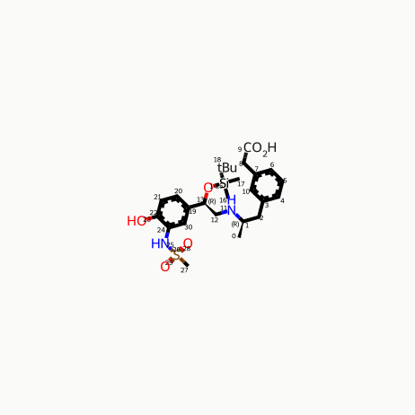 C[C@H](Cc1cccc(CC(=O)O)c1)NC[C@H](O[Si](C)(C)C(C)(C)C)c1ccc(O)c(NS(C)(=O)=O)c1